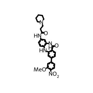 COc1cc(-c2ccc3c(c2)Nc2ccc(NC(=O)CCN4CCCCC4)cc2NC3=O)ccc1[N+](=O)[O-]